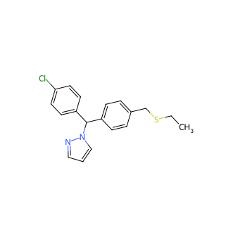 CCSCc1ccc(C(c2ccc(Cl)cc2)n2cccn2)cc1